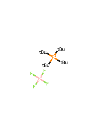 CC(C)(C)[P+](C(C)(C)C)(C(C)(C)C)C(C)(C)C.F[B-](F)(F)F